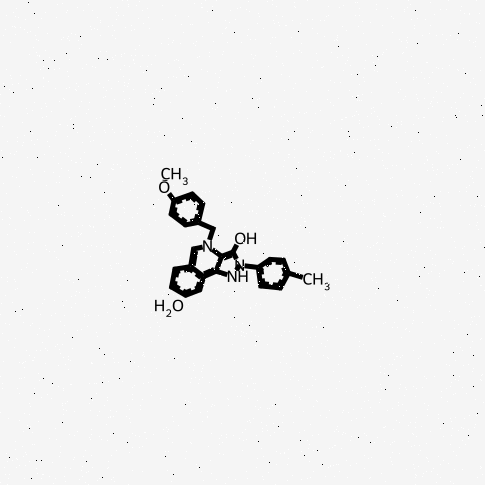 COc1ccc(CN2C=c3ccccc3=C3NN(c4ccc(C)cc4)C(O)=C32)cc1.O